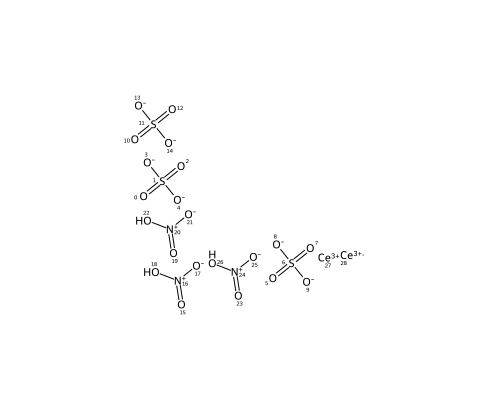 O=S(=O)([O-])[O-].O=S(=O)([O-])[O-].O=S(=O)([O-])[O-].O=[N+]([O-])O.O=[N+]([O-])O.O=[N+]([O-])O.[Ce+3].[Ce+3]